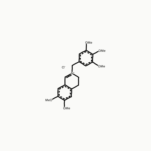 COc1cc2c(cc1OC)CC[N+](Cc1cc(OC)c(OC)c(OC)c1)=C2.[Cl-]